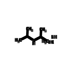 CC(C)NC(C)C.[KH].[LiH]